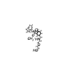 O=C(NCC12CCCC(CCC1)C2)c1cc(CNCCOCCO)ccc1Cl.[CH2]